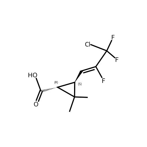 CC1(C)[C@H](C=C(F)C(F)(F)Cl)[C@H]1C(=O)O